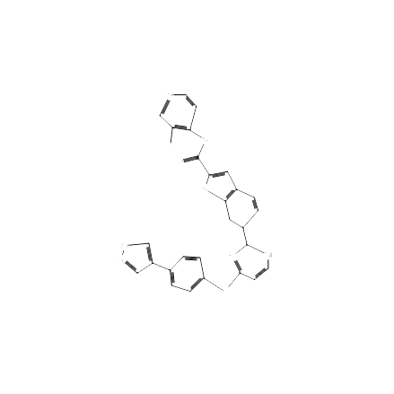 Cc1cnccc1NC(=O)c1cc2c([nH]1)CC(C1N=C(Nc3ccc(-c4cn[nH]c4)cc3)C=CN1)C=C2